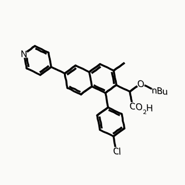 CCCCOC(C(=O)O)c1c(C)cc2cc(-c3ccncc3)ccc2c1-c1ccc(Cl)cc1